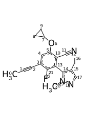 CC#Cc1cc(OC2CC2)c(C#N)c(-c2c(I)cnn2C)c1F